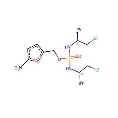 CC(C)[C@@H](CCl)NP(=O)(N[C@H](CCl)C(C)C)OCc1ccc([N+](=O)[O-])o1